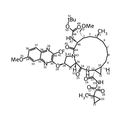 COC[C@@H]1C[C@@H](C)CCCC[C@H]2C[C@@]2(C(=O)NS(=O)(=O)C2(C)CC2)NC(=O)[C@@H]2C[C@@H](Oc3nc4cc(OC)ccc4nc3C(F)(F)F)CN2C(=O)[C@H]1NC(=O)OC(C)(C)C